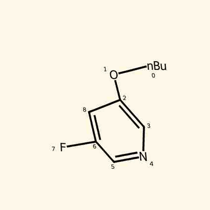 CCCCOc1cncc(F)c1